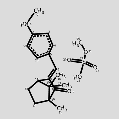 CNc1ccc(C=C2C(=O)C3(C)CCC2C3(C)C)cc1.COS(=O)(=O)O